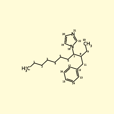 CCCCCCCC(C(CC)Cc1ccccc1)n1ccnc1